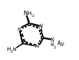 Nc1nc(N)nc(N)n1.[Au]